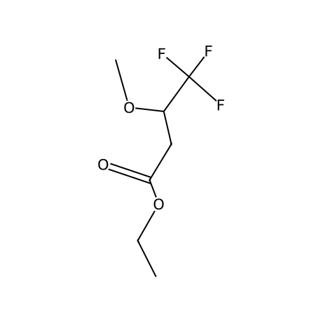 CCOC(=O)CC(OC)C(F)(F)F